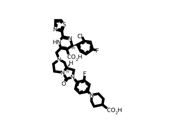 O=C(O)C1=C(CN2CCN3C(=O)N(c4ccc(N5CCC(C(=O)O)CC5)cc4F)C[C@@H]3C2)NC(c2nccs2)=N[C@H]1c1ccc(F)cc1Cl